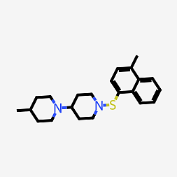 Cc1ccc(SN2CCC(N3CCC(C)CC3)CC2)c2ccccc12